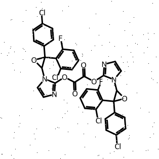 O=C(Oc1nccn1C1OC1(c1ccc(Cl)cc1)c1c(F)cccc1Cl)C(=O)Oc1nccn1C1OC1(c1ccc(Cl)cc1)c1c(F)cccc1Cl